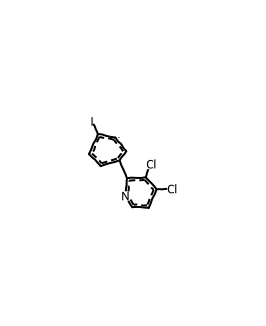 Clc1ccnc(-c2c[c]c(I)cc2)c1Cl